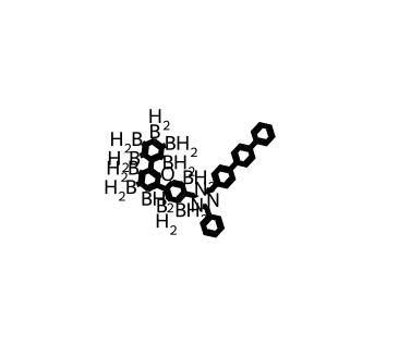 Bc1c(B)c(B)c(-c2c(B)c(B)c(B)c3c2oc2c(B)c(-c4nc(-c5ccccc5)nc(-c5ccc(-c6ccc(-c7ccccc7)cc6)cc5)n4)c(B)c(B)c23)c(B)c1B